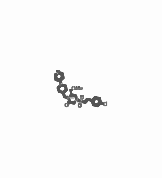 COC[C@H]1CN(S(=O)(=O)C=Cc2ccc(Cl)cc2)CC(=O)N1CC1CCN(c2ccncc2)CC1